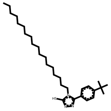 CCCCCCCCCCCCCCCCCCn1c(S)nnc1-c1ccc(C(C)(C)C)cc1